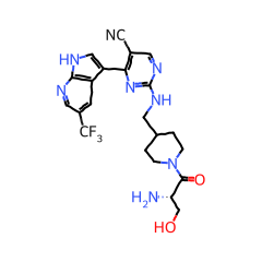 N#Cc1cnc(NCC2CCN(C(=O)[C@@H](N)CO)CC2)nc1-c1c[nH]c2ncc(C(F)(F)F)cc12